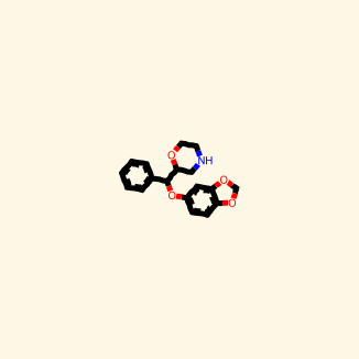 c1ccc(C(Oc2ccc3c(c2)OCO3)C2CNCCO2)cc1